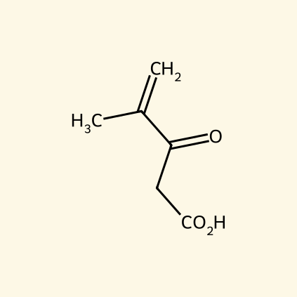 C=C(C)C(=O)CC(=O)O